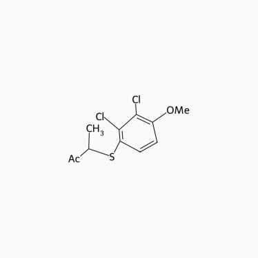 COc1ccc(SC(C)C(C)=O)c(Cl)c1Cl